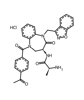 CC(=O)c1ccc(C(=O)N2C[C@H](NC(=O)[C@H](C)N)C(=O)N(Cc3noc4ccccc34)c3ccccc32)cc1.Cl